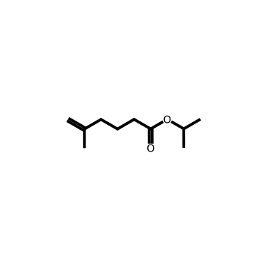 C=C(C)CCCC(=O)OC(C)C